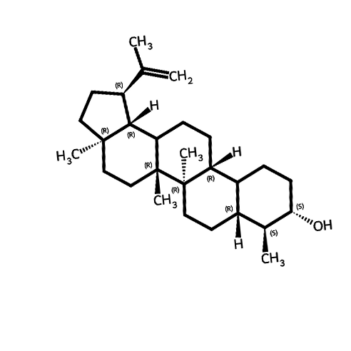 C=C(C)[C@@H]1CC[C@]2(C)CC[C@]3(C)C(CC[C@@H]4C5CC[C@H](O)[C@@H](C)[C@@H]5CC[C@]43C)[C@@H]12